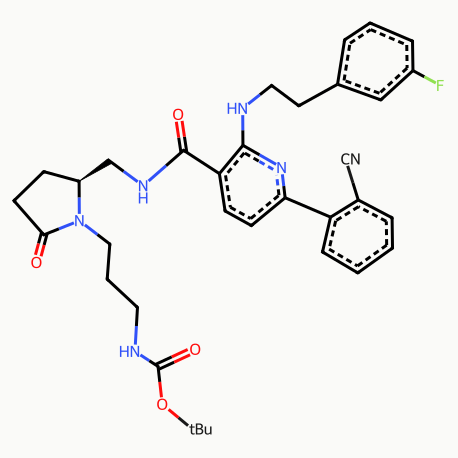 CC(C)(C)OC(=O)NCCCN1C(=O)CC[C@H]1CNC(=O)c1ccc(-c2ccccc2C#N)nc1NCCc1cccc(F)c1